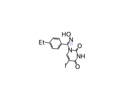 CCc1ccc(/C(=N\O)n2cc(I)c(=O)[nH]c2=O)cc1